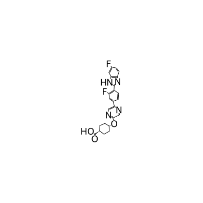 O=C(O)[C@H]1CC[C@H](Oc2cnc(-c3ccc(-c4nc5ccc(F)cc5[nH]4)c(F)c3)cn2)CC1